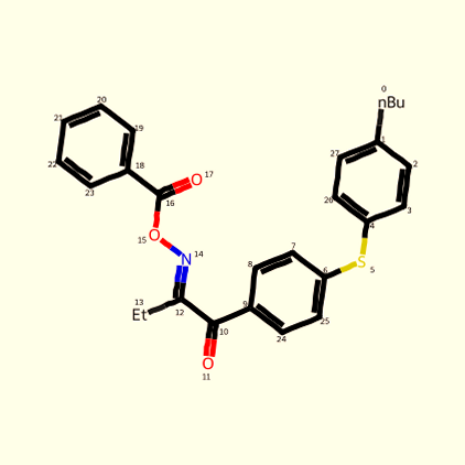 CCCCc1ccc(Sc2ccc(C(=O)C(CC)=NOC(=O)c3ccccc3)cc2)cc1